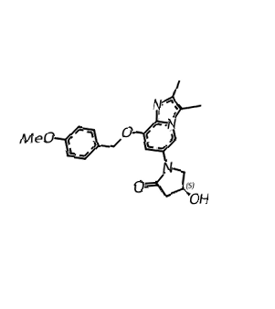 COc1ccc(COc2cc(N3C[C@@H](O)CC3=O)cn3c(C)c(C)nc23)cc1